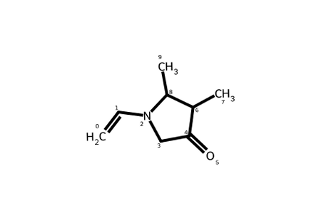 C=CN1CC(=O)C(C)C1C